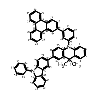 CC1(C)c2ccccc2N(c2cccc(-c3ccc4c5ccccc5c5ccccc5c4c3)c2)c2ccc(-c3ccc4c(c3)c3ccccc3n4-c3ccccc3)cc21